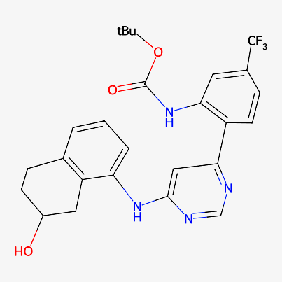 CC(C)(C)OC(=O)Nc1cc(C(F)(F)F)ccc1-c1cc(Nc2cccc3c2CC(O)CC3)ncn1